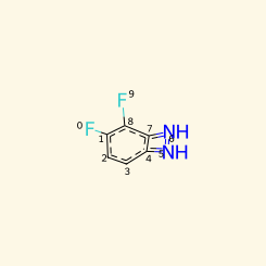 Fc1ccc2[nH][nH]c2c1F